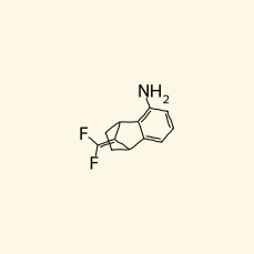 Nc1cccc2c1C1CCC2C1=C(F)F